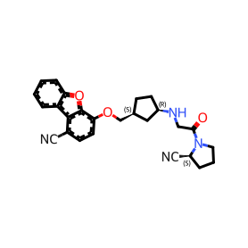 N#Cc1ccc(OC[C@H]2CC[C@@H](NCC(=O)N3CCC[C@H]3C#N)C2)c2oc3ccccc3c12